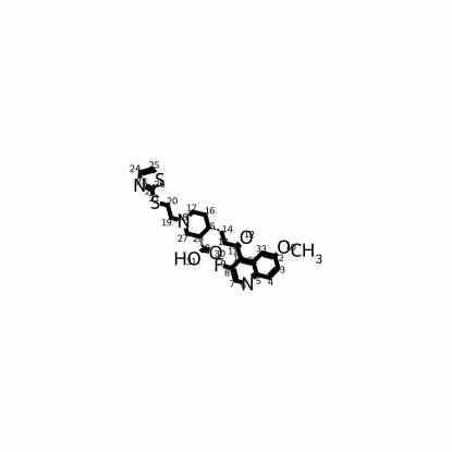 COc1ccc2ncc(F)c(C(=O)CC[C@H]3CCN(CCSc4nccs4)C[C@H]3C(=O)O)c2c1